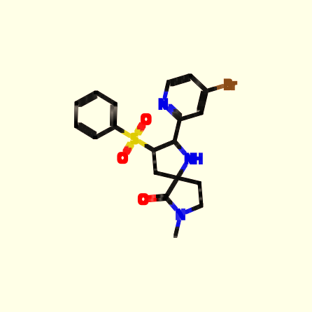 CN1CCC2(CC(S(=O)(=O)c3ccccc3)C(c3cc(Br)ccn3)N2)C1=O